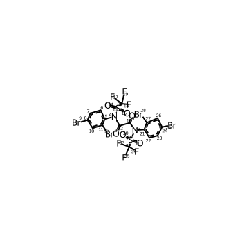 O=C(C(=O)N(c1ccc(Br)cc1Br)S(=O)(=O)C(F)(F)F)N(c1ccc(Br)cc1Br)S(=O)(=O)C(F)(F)F